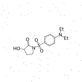 CCN(CC)c1ccc(S(=O)(=O)N2CCC(O)C2=O)cc1